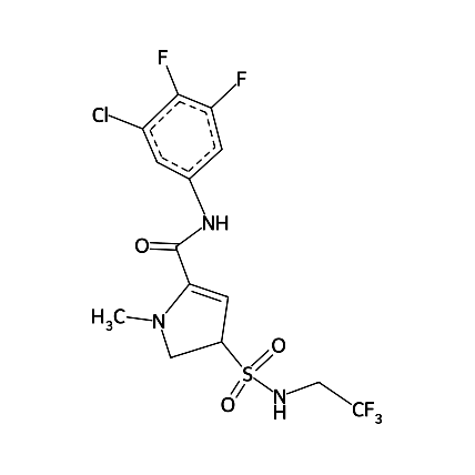 CN1CC(S(=O)(=O)NCC(F)(F)F)C=C1C(=O)Nc1cc(F)c(F)c(Cl)c1